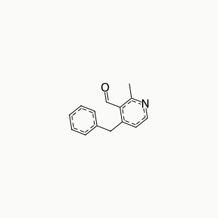 Cc1nccc(Cc2ccccc2)c1C=O